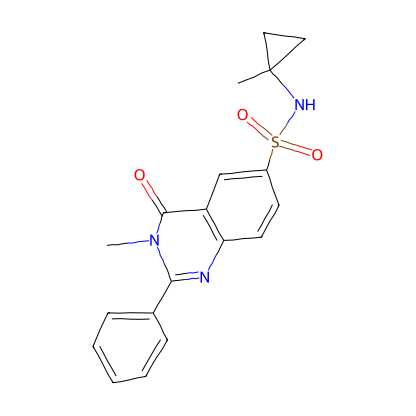 Cn1c(-c2ccccc2)nc2ccc(S(=O)(=O)NC3(C)CC3)cc2c1=O